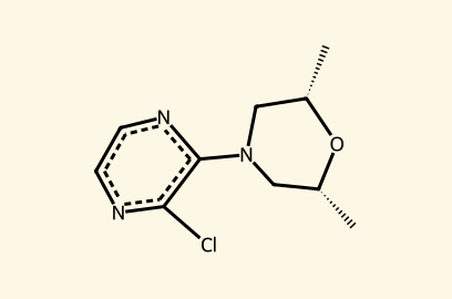 C[C@@H]1CN(c2nccnc2Cl)C[C@H](C)O1